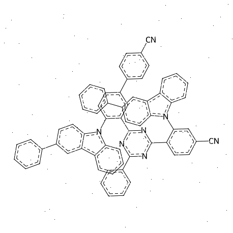 N#Cc1ccc(-c2ccc(-n3c4ccccc4c4cc(-c5ccccc5)ccc43)c(-c3nc(-c4ccccc4)nc(-c4ccc(C#N)cc4-n4c5ccccc5c5cc(-c6ccccc6)ccc54)n3)c2)cc1